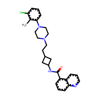 Cc1c(Cl)cccc1N1CCN(CCC2CC(NC(=O)c3cccc4ncccc34)C2)CC1